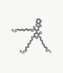 CCCCCCCCOC(=O)CC(C(=O)OCCCCCCCC)C(Sc1nc2ccccc2s1)C(=O)OCCCCCCCC